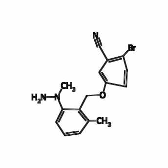 Cc1cccc(N(C)N)c1COc1ccc(Br)c(C#N)c1